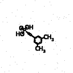 Cc1cc(C)cc(C#CP(=O)(O)O)c1